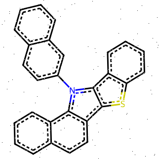 c1ccc2cc(-n3c4c5ccccc5ccc4c4sc5ccccc5c43)ccc2c1